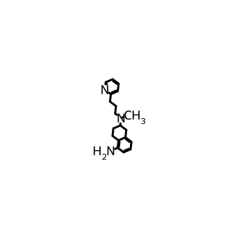 CN(CCCc1ccccn1)C1CCc2c(N)cccc2C1